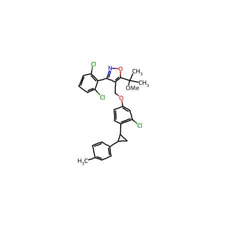 COC(C)(C)c1onc(-c2c(Cl)cccc2Cl)c1COc1ccc(C2CC2c2ccc(C)cc2)c(Cl)c1